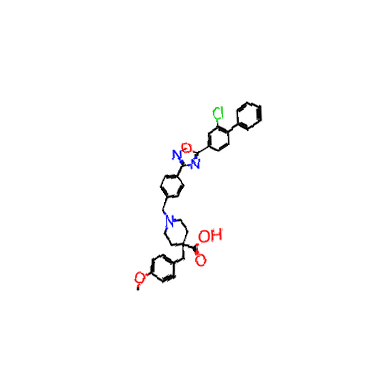 COc1ccc(CC2(C(=O)O)CCN(Cc3ccc(-c4noc(-c5ccc(-c6ccccc6)c(Cl)c5)n4)cc3)CC2)cc1